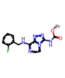 CC(C)OC(=O)Nc1nnc2c(NCc3ccccc3F)nccn12